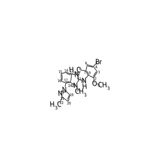 COc1cc(Br)cc(C)c1Nc1nc2cccc(-n3ccc(C)n3)c2n1C